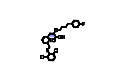 O=C(O)/C(=C\c1cccc(CSc2c(Cl)cccc2Cl)n1)OCCCCc1ccc(F)cc1